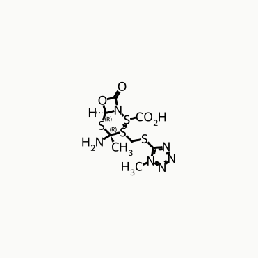 Cn1nnnc1SCS1=S(C(=O)O)N2C(=O)O[C@@H]2S[C@@]1(C)N